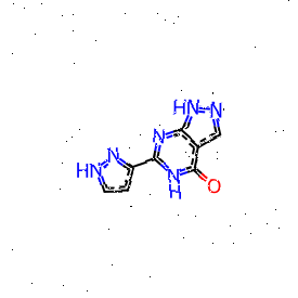 O=c1[nH]c(-c2cc[nH]n2)nc2[nH]ncc12